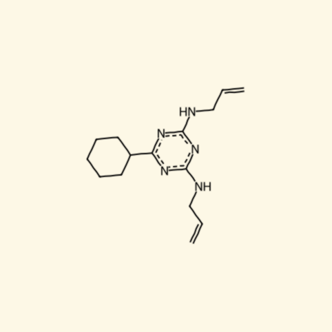 C=CCNc1nc(NCC=C)nc(C2CCCCC2)n1